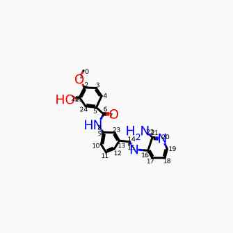 COc1ccc(C(=O)Nc2cccc(/C=N/c3cccnc3N)c2)cc1O